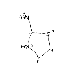 [NH]C1NCCS1